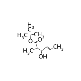 C/C=C/C(O)C(C)C(=O)OC(C)(C)C